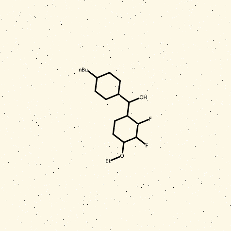 CCCCC1CCC(C(O)C2CCC(OCC)C(F)C2F)CC1